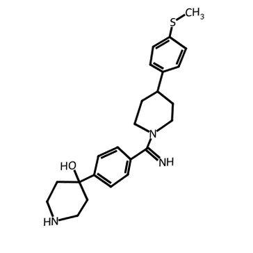 CSc1ccc(C2CCN(C(=N)c3ccc(C4(O)CCNCC4)cc3)CC2)cc1